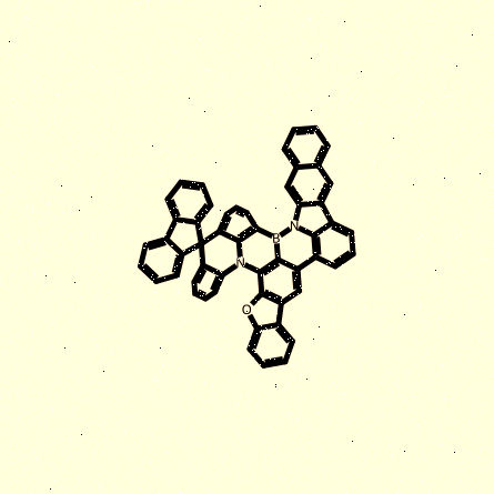 c1ccc2c(c1)-c1ccccc1C21c2ccccc2N2c3c(cccc31)B1c3c(cc4c(oc5ccccc54)c32)-c2cccc3c4cc5ccccc5cc4n1c23